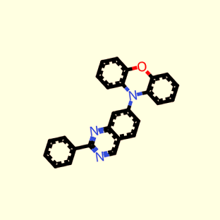 c1ccc(-c2ncc3ccc(N4c5ccccc5Oc5ccccc54)cc3n2)cc1